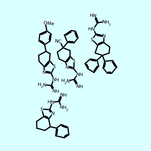 COc1ccc(C2CCc3nc(NC(=N)N)sc3C2)cc1.N#CC1(c2ccccc2)CCc2nc(NC(=N)N)sc2C1.N=C(N)Nc1nc2c(s1)CC(c1ccccc1)(c1ccccc1)CC2.N=C(N)Nc1nc2c(s1)CCCC2c1ccccc1